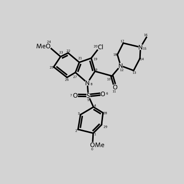 COc1ccc(S(=O)(=O)n2c(C(=O)N3CCN(C)CC3)c(Cl)c3cc(OC)ccc32)cc1